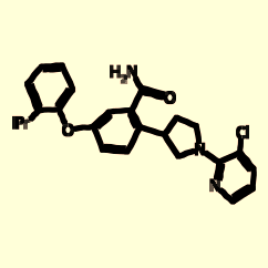 CC(C)c1ccccc1Oc1ccc(C2CCN(c3ncccc3Cl)C2)c(C(N)=O)c1